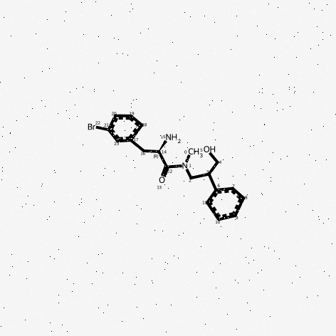 CN(CC(CO)c1ccccc1)C(=O)[C@H](N)Cc1cccc(Br)c1